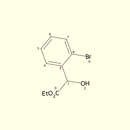 CCOC(=O)C(O)c1ccccc1Br